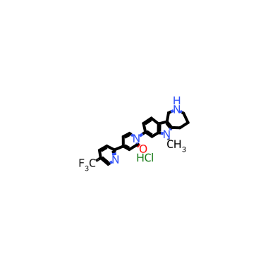 Cl.Cn1c2c(c3ccc(-n4ccc(-c5ccc(C(F)(F)F)cn5)cc4=O)cc31)CNCCC2